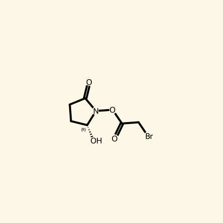 O=C(CBr)ON1C(=O)CC[C@H]1O